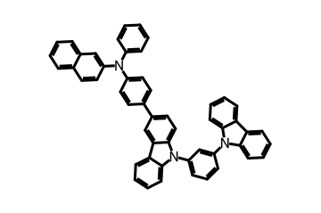 c1ccc(N(c2ccc(-c3ccc4c(c3)c3ccccc3n4-c3cccc(-n4c5ccccc5c5ccccc54)c3)cc2)c2ccc3ccccc3c2)cc1